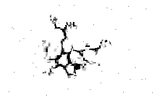 CCOC(OC)Oc1c(CC=C(C)CO)c(OC)c(C)c2c1C(=O)OC2